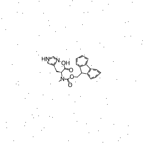 CN(C(=O)OCC1c2ccccc2-c2ccccc21)[C@@H](Cc1c[nH]cn1)C(=O)O